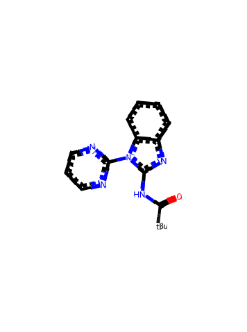 CC(C)(C)C(=O)Nc1nc2ccccc2n1-c1ncccn1